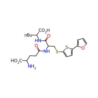 CCCCC(NC(=O)C(CSc1ccc(-c2ccco2)s1)NC(=O)CCC(N)C(=O)O)C(=O)O